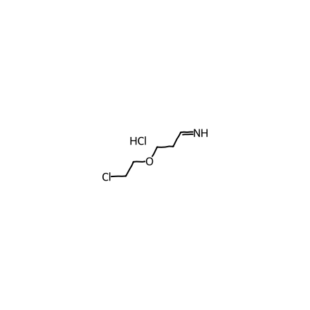 Cl.N=CCCOCCCl